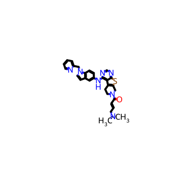 CN(C)CC=CC(=O)N1CCc2c(sc3ncnc(Nc4ccc5c(ccn5Cc5ccccn5)c4)c23)C1